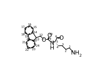 NCCCC[C@@H](C=O)NC(=O)OCC1c2ccccc2-c2ccccc21